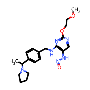 COCCOc1ncc(NN=O)c(NCc2ccc(C(C)N3CCCC3)cc2)n1